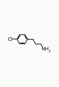 NCC[CH]c1ccc(Cl)cc1